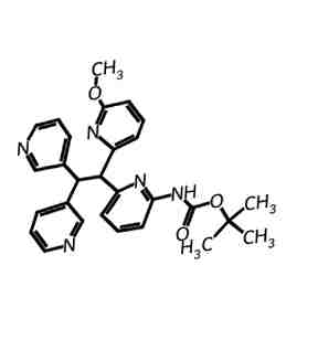 COc1cccc(C(c2cccc(NC(=O)OC(C)(C)C)n2)C(c2cccnc2)c2cccnc2)n1